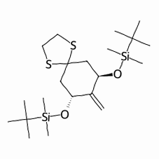 C=C1[C@H](O[Si](C)(C)C(C)(C)C)CC2(C[C@H]1O[Si](C)(C)C(C)(C)C)SCCS2